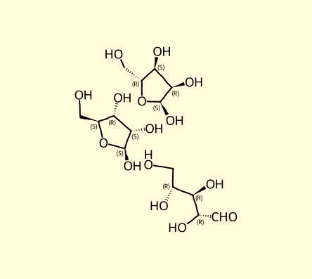 O=C[C@H](O)[C@H](O)[C@H](O)CO.OC[C@@H]1O[C@H](O)[C@@H](O)[C@H]1O.OC[C@H]1O[C@H](O)[C@H](O)[C@@H]1O